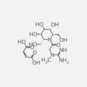 CN(CC(=O)N1[C@H](CO)[C@@H](O)C(O)[C@H](O)[C@H]1CO)C(=N)N.O=C(O)/C=C\C(=O)O